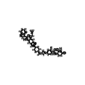 CN(C1CN(c2ccc(C(=O)NC3CCC(=O)NC3=O)c(F)c2)C1)[C@H]1CC[C@H](n2cc3cc(NC(=O)c4cnn5cccnc45)c(OCC4CC4)cc3n2)CC1